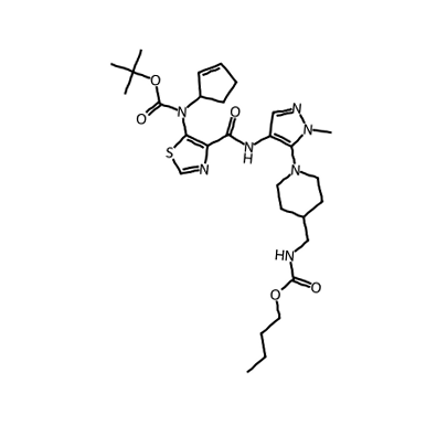 CCCCOC(=O)NCC1CCN(c2c(NC(=O)c3ncsc3N(C(=O)OC(C)(C)C)C3C=CCC3)cnn2C)CC1